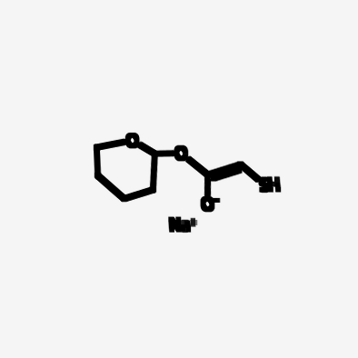 [Na+].[O-]C(=CS)OC1CCCCO1